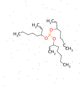 C=CC(CCCCC)OP(OC(C=C)CCCCC)OC(C=C)CCCCC